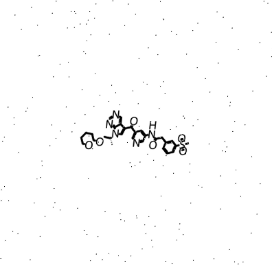 C[C@H](COC1CCCCO1)n1cc(C(=O)c2cncc(NC(=O)Cc3cccc(S(C)(=O)=O)c3)c2)c2cncnc21